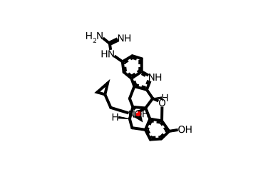 N=C(N)Nc1ccc2[nH]c3c(c2c1)C[C@@]1(O)[C@H]2Cc4ccc(O)c5c4C1(CCN2CC1CC1)[C@H]3O5